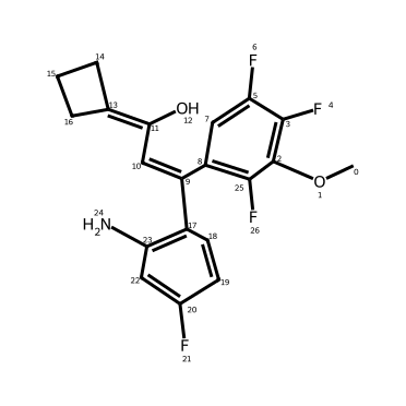 COc1c(F)c(F)cc(/C(=C\C(O)=C2CCC2)c2ccc(F)cc2N)c1F